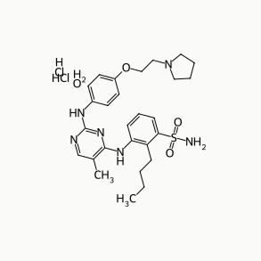 CCCCc1c(Nc2nc(Nc3ccc(OCCN4CCCC4)cc3)ncc2C)cccc1S(N)(=O)=O.Cl.Cl.O